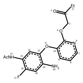 CCC(=O)COc1ncccc1Oc1cc(NC(C)=O)c(F)cc1N